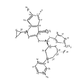 Cc1cc(CN(Cc2cn(C3CC3)c3cc(F)c(F)cc3c2=O)[C@H]2C[C@H](F)CN(c3cnccn3)C2)ccn1